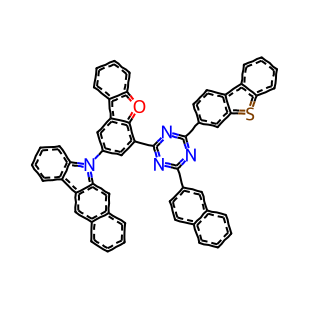 c1ccc2cc(-c3nc(-c4ccc5c(c4)sc4ccccc45)nc(-c4cc(-n5c6ccccc6c6cc7ccccc7cc65)cc5c4oc4ccccc45)n3)ccc2c1